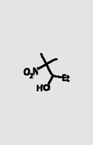 CCC(O)C(C)(C)[N+](=O)[O-]